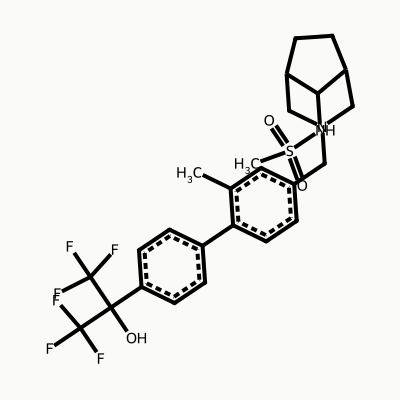 Cc1cc(CN2CC3CCC(C2)C3NS(C)(=O)=O)ccc1-c1ccc(C(O)(C(F)(F)F)C(F)(F)F)cc1